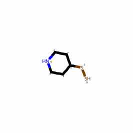 SSC1CCNCC1